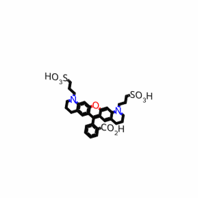 O=C(O)c1ccccc1C1=C2C=C3CCCN(CCCS(=O)(=O)O)C3C=C2Oc2cc3c(cc21)CCCN3CCCS(=O)(=O)O